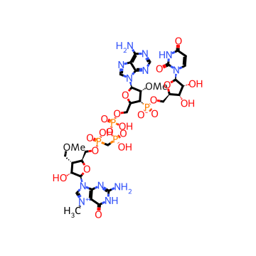 COC[C@H]1[C@@H](O)[C@H](n2c[n+](C)c3c(=O)[nH]c(N)nc32)O[C@@H]1COP(=O)(O)CP(=O)(O)OP(=O)(O)OCC1O[C@@H](n2cnc3c(N)ncnc32)[C@H](OC)[C@@H]1P(=O)([O-])OC[C@H]1O[C@@H](n2ccc(=O)[nH]c2=O)[C@H](O)[C@@H]1O